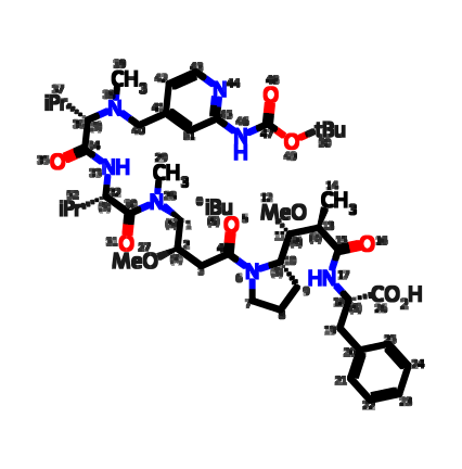 CC[C@H](C)[C@@H]([C@@H](CC(=O)N1CCC[C@H]1[C@H](OC)[C@@H](C)C(=O)N[C@@H](Cc1ccccc1)C(=O)O)OC)N(C)C(=O)[C@@H](NC(=O)[C@H](C(C)C)N(C)Cc1ccnc(NC(=O)OC(C)(C)C)c1)C(C)C